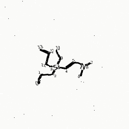 CCC[Si](C=CN(C)C)(CC)CCC